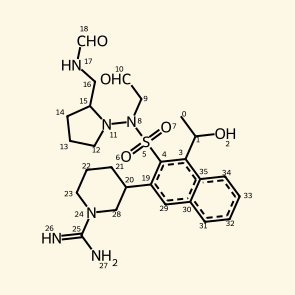 CC(O)c1c(S(=O)(=O)N(CC=O)N2CCCC2CNC=O)c(C2CCCN(C(=N)N)C2)cc2ccccc12